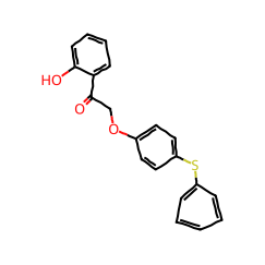 O=C(COc1ccc(Sc2ccccc2)cc1)c1ccccc1O